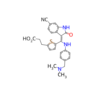 CN(C)Cc1ccc(N/C(=C2\C(=O)Nc3cc(C#N)ccc32)c2ccc(CCC(=O)O)s2)cc1